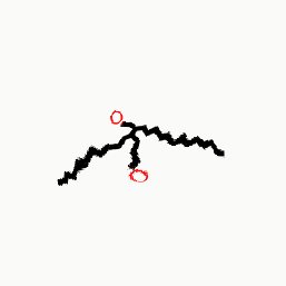 CCCCCCCCCCCCCC(CC=O)C(CCCC=O)CCCCCCCCCCC